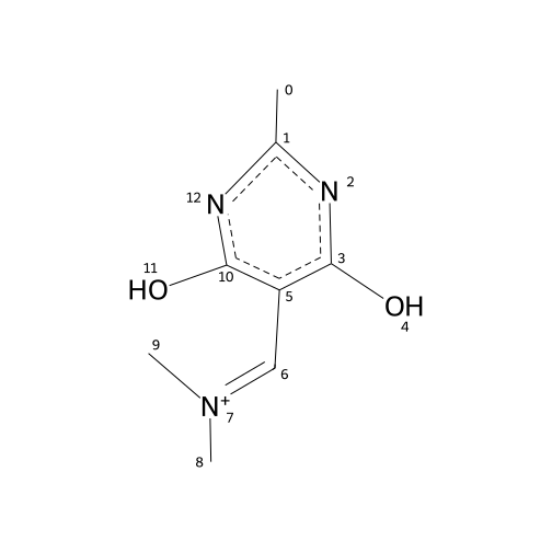 Cc1nc(O)c(C=[N+](C)C)c(O)n1